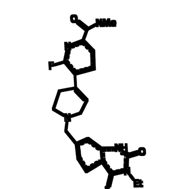 CCn1c(=O)[nH]c2cc(CN3CC=C(c4ccc(C(=O)NC)nc4F)CC3)ccc2c1=S